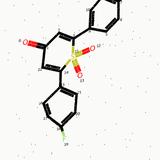 O=C1C=C(c2ccc(F)cc2)S(=O)(=O)C(c2ccc(F)cc2)=C1